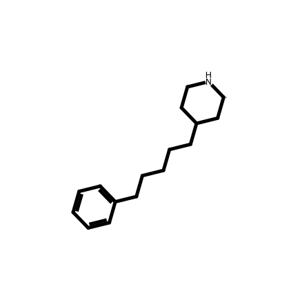 [CH]1CC(CCCCCc2ccccc2)CCN1